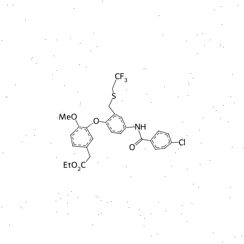 CCOC(=O)Cc1ccc(OC)c(Oc2ccc(NC(=O)c3ccc(Cl)cc3)cc2CSCC(F)(F)F)c1